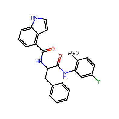 COc1ccc(F)cc1NC(=O)C(Cc1ccccc1)NC(=O)c1cccc2[nH]ccc12